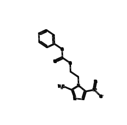 Cc1ncc([N+](=O)[O-])n1CCOC(=O)Oc1ccccc1